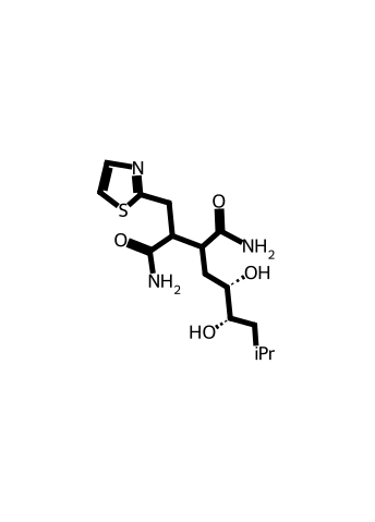 CC(C)C[C@H](O)[C@@H](O)CC(C(N)=O)C(Cc1nccs1)C(N)=O